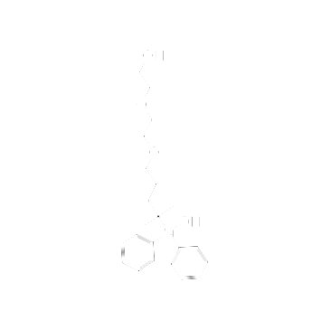 CC(C)(CCCOCCOCCO)[Si](O)(c1ccccc1)c1ccccc1